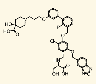 O=C(O)[C@@H](CO)NCc1cc(Cl)c(OCc2cccc(-c3cccc(OCCCN4CCC(O)(C(=O)O)CC4)c3)c2F)cc1OCc1ccc2nonc2c1